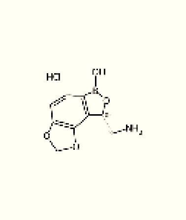 Cl.NC[C@H]1OB(O)c2ccc3c(c21)OCO3